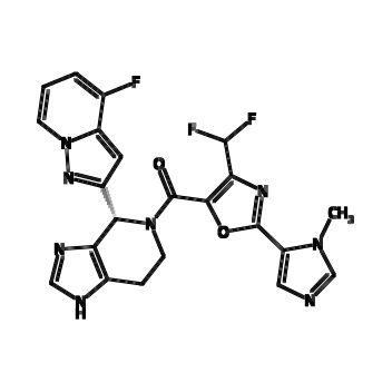 Cn1cncc1-c1nc(C(F)F)c(C(=O)N2CCc3[nH]cnc3[C@@H]2c2cc3c(F)cccn3n2)o1